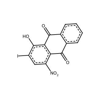 O=C1c2ccccc2C(=O)c2c(O)c(I)cc([N+](=O)[O-])c21